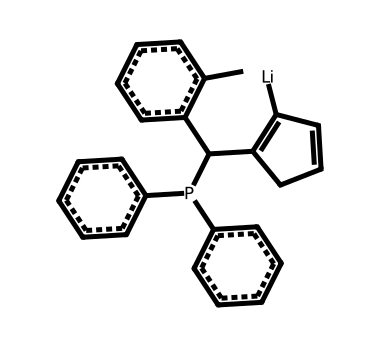 [Li][C]1=C(C(c2ccccc2C)P(c2ccccc2)c2ccccc2)CC=C1